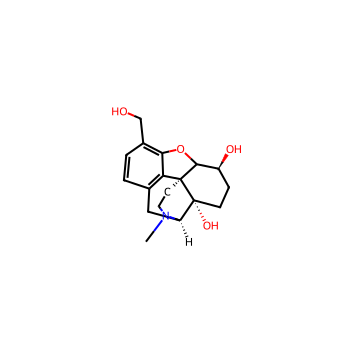 CN1CC[C@]23c4c5ccc(CO)c4OC2[C@@H](O)CC[C@@]3(O)[C@H]1C5